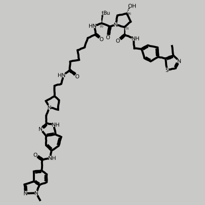 Cc1ncsc1-c1ccc(CNC(=O)[C@@H]2C[C@@H](O)CN2C(=O)[C@@H](NC(=O)CCCCCC(=O)NCCC2CCN(Cc3nc4cc(NC(=O)c5ccc6c(cnn6C)c5)ccc4[nH]3)C2)C(C)(C)C)cc1